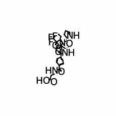 CCC(C(=O)C(F)(F)F)N(C(=O)[C@H](C)NC(=O)c1ccc(C(=O)NCCC(=O)O)cc1)C(=O)[C@@H]1CCCN1